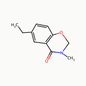 CCc1ccc2c(c1)C(=O)N(C)CO2